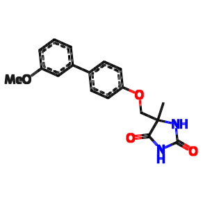 COc1cccc(-c2ccc(OCC3(C)NC(=O)NC3=O)cc2)c1